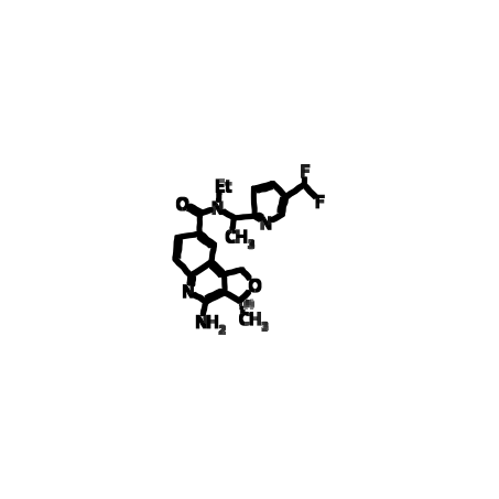 CCN(C(=O)c1ccc2nc(N)c3c(c2c1)CO[C@@H]3C)C(C)c1ccc(C(F)F)cn1